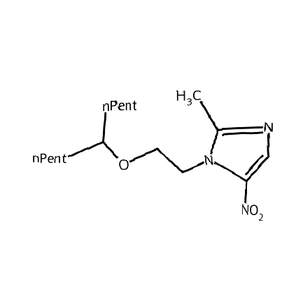 CCCCCC(CCCCC)OCCn1c([N+](=O)[O-])cnc1C